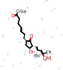 CCCC[C@@](O)(CC)CC=C[C@H]1C(=O)[C@H](CCCCCCC(=O)OC)C[C@H]1O